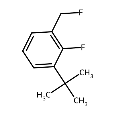 CC(C)(C)c1cccc(CF)c1F